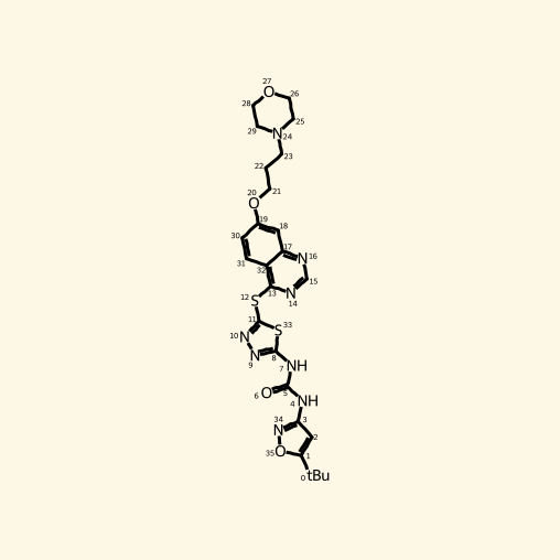 CC(C)(C)c1cc(NC(=O)Nc2nnc(Sc3ncnc4cc(OCCCN5CCOCC5)ccc34)s2)no1